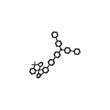 CC1(C)c2ccccc2C2(c3ccccc3-c3ccc(-c4ccc(-c5ccc(N(c6ccc(-c7ccccc7)cc6)c6ccc(-c7ccccc7)cc6)cc5)cc4)cc32)C2C=CC=CC21